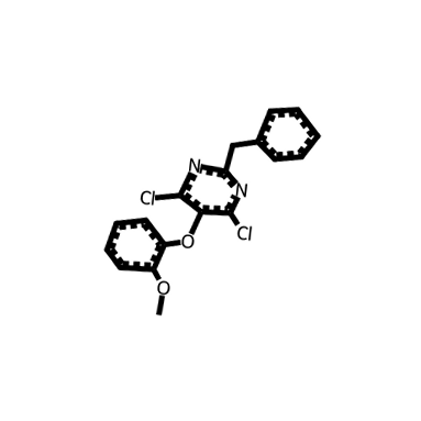 COc1ccccc1Oc1c(Cl)nc(Cc2ccccc2)nc1Cl